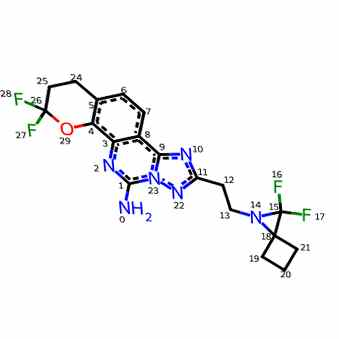 Nc1nc2c3c(ccc2c2nc(CCN4C(F)(F)C45CCC5)nn12)CCC(F)(F)O3